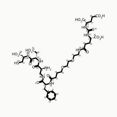 N[C@@H](CNC(=O)[C@H](Cc1ccccc1)NC(=O)CCCOCCOCCNC(=O)CC[C@H](NC(=S)N[C@@H](CCC(=O)O)C(=O)O)C(=O)O)C(=O)N[C@@H](CC(=O)O)C(=O)N[C@@H](CS)C(=O)O